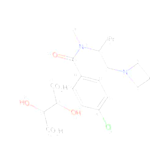 CC(C)C(CN1CCC1)N(C)C(=O)c1ccc(Cl)cc1.O=C(O)C(O)C(O)C(=O)O